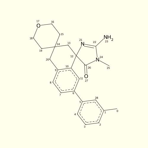 Cc1cccc(-c2ccc3c(c2)C2(CC4(CCOCC4)C3)N=C(N)N(C)C2=O)c1